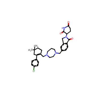 CC1(C)CCC(CN2CCCN(Cc3ccc4c(c3)CN(C3CCC(=O)NC3=O)C4=O)CC2)=C(c2ccc(Cl)cc2)C1